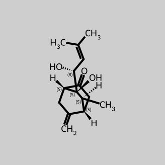 C=C1C[C@@H]2C(=O)C[C@H]1[C@H](C)[C@@]2(O)[C@H](O)C=C(C)C